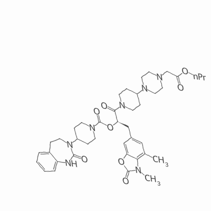 CCCOC(=O)CN1CCN(C2CCN(C(=O)[C@@H](Cc3cc(C)c4c(c3)oc(=O)n4C)OC(=O)N3CCC(N4CCc5ccccc5NC4=O)CC3)CC2)CC1